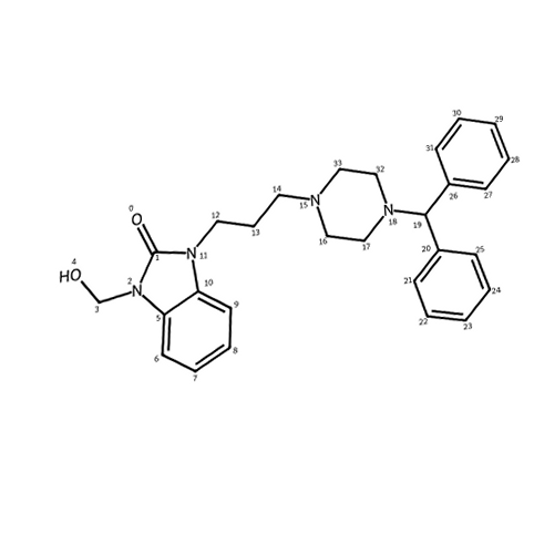 O=c1n(CO)c2ccccc2n1CCCN1CCN(C(c2ccccc2)c2ccccc2)CC1